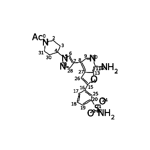 CC(=O)N1CCC(n2cc(-c3cnc(N)c4oc(-c5cccc(S(N)(=O)=O)c5)cc34)cn2)CC1